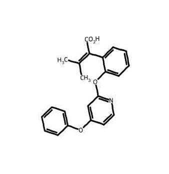 CC(C)=C(C(=O)O)c1ccccc1Oc1cc(Oc2ccccc2)ccn1